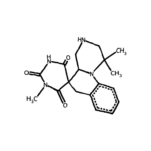 CN1C(=O)NC(=O)C2(Cc3ccccc3N3C2CNCC3(C)C)C1=O